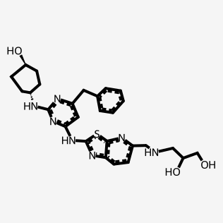 OCC(O)CNCc1ccc2nc(Nc3cc(Cc4ccccc4)nc(N[C@H]4CC[C@H](O)CC4)n3)sc2n1